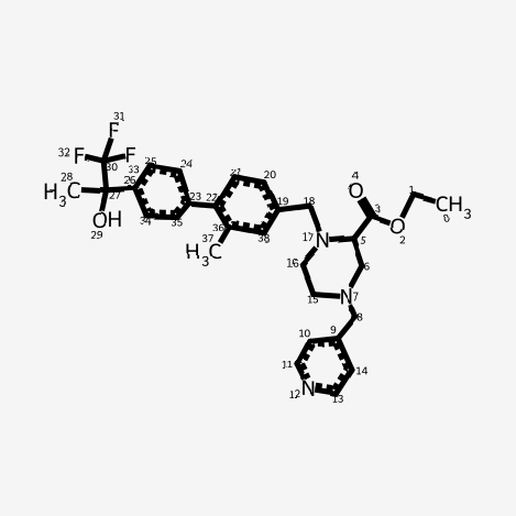 CCOC(=O)C1CN(Cc2ccncc2)CCN1Cc1ccc(-c2ccc(C(C)(O)C(F)(F)F)cc2)c(C)c1